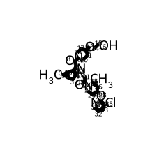 CC1C2Cc3c(c(C(=O)N4CCC(OCCO)CC4)nn3CC(=O)N3CC[C@@H](Oc4ncccc4Cl)C[C@H]3C)C12